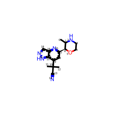 CC1NCCO[C@H]1c1cc(C(C)(C)C#N)c2[nH]ncc2n1